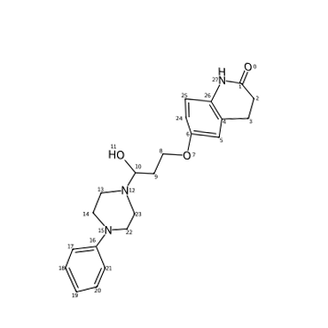 O=C1CCc2cc(OCCC(O)N3CCN(c4ccccc4)CC3)ccc2N1